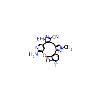 CCn1nc(C#N)c2c1-c1cnc(N)c(c1)O[C@H](C)c1cc(F)ccc1-c1nn(C)cc1C2